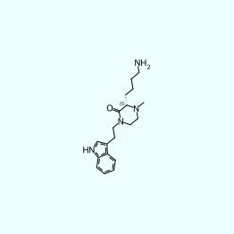 CN1CCN(CCc2c[nH]c3ccccc23)C(=O)[C@@H]1CCCCN